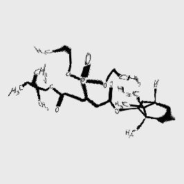 CCOP(=O)(OCC)C(CC(=O)O[C@H]1C[C@@H]2CC[C@@]1(C)C2(C)C)C(=O)OC(C)(C)C